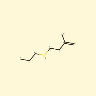 C=C(C)CCS[CH]CC